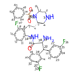 CC1CNC[C@H](CCc2c(F)cccc2NC(=O)C(N)C(c2cccc(F)c2)c2cccc(F)c2)N1S(=O)(=O)c1ccccc1